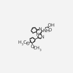 COc1ccc(-c2cnc3c(NCC(=O)O)nc4ccccc4n23)cc1OC